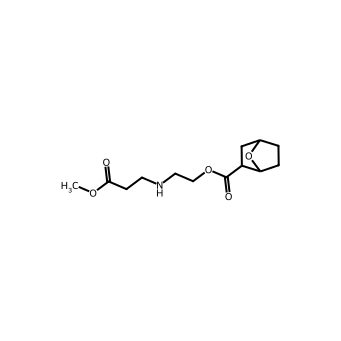 COC(=O)CCNCCOC(=O)C1CC2CCC1O2